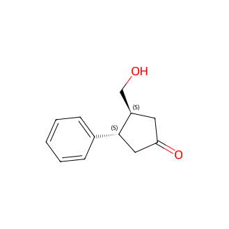 O=C1C[C@H](CO)[C@@H](c2ccccc2)C1